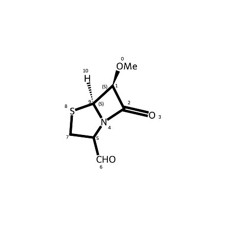 CO[C@H]1C(=O)N2C(C=O)CS[C@@H]12